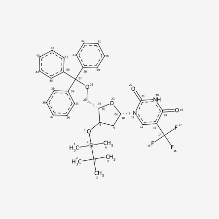 CC(C)(C)[Si](C)(C)OC1C[C@@H](n2cc(C(F)(F)F)c(=O)[nH]c2=O)O[C@H]1COC(c1ccccc1)(c1ccccc1)c1ccccc1